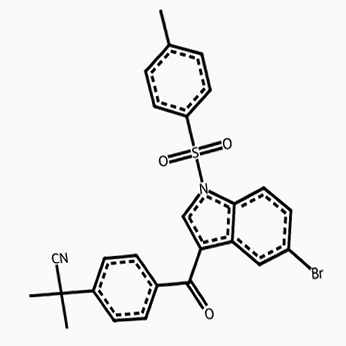 Cc1ccc(S(=O)(=O)n2cc(C(=O)c3ccc(C(C)(C)C#N)cc3)c3cc(Br)ccc32)cc1